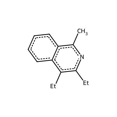 CCc1nc(C)c2ccccc2c1CC